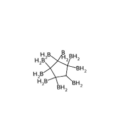 BC1C(B)(B)C(B)(B)C(B)(B)C1(B)B